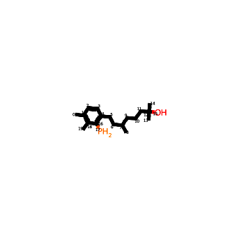 Cc1ccc(CCC(C)CCCC(C)(C)O)c(P)c1C